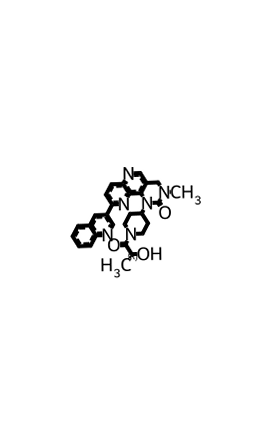 C[C@@H](O)C(=O)N1CCC(N2C(=O)N(C)Cc3cnc4ccc(-c5cnc6ccccc6c5)nc4c32)CC1